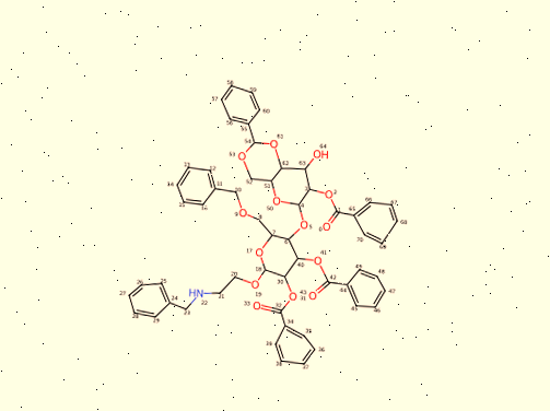 O=C(OC1C(OC2C(COCc3ccccc3)OC(OCCNCc3ccccc3)C(OC(=O)c3ccccc3)C2OC(=O)c2ccccc2)OC2COC(c3ccccc3)OC2C1O)c1ccccc1